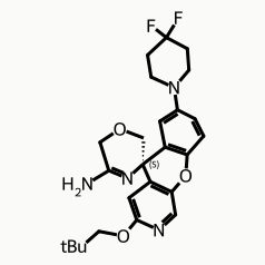 CC(C)(C)COc1cc2c(cn1)Oc1ccc(N3CCC(F)(F)CC3)cc1[C@@]21COCC(N)=N1